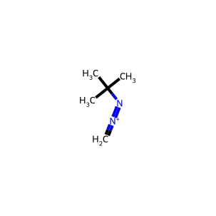 C=[N+]=NC(C)(C)C